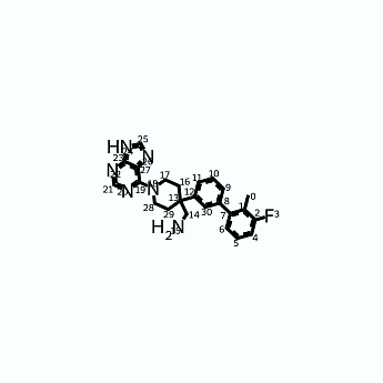 Cc1c(F)cccc1-c1cccc(C2(CN)CCN(c3ncnc4[nH]cnc34)CC2)c1